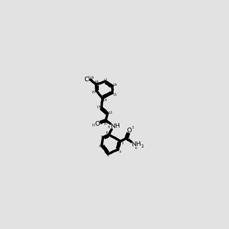 NC(=O)c1ccccc1NC(=O)C=Cc1cccc(Cl)c1